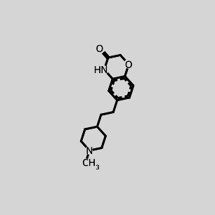 CN1CCC(CCc2ccc3c(c2)NC(=O)CO3)CC1